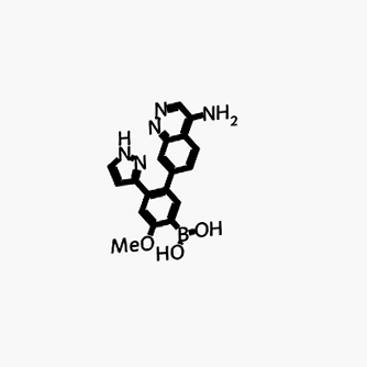 COc1cc(-c2cc[nH]n2)c(-c2ccc3c(N)cnnc3c2)cc1B(O)O